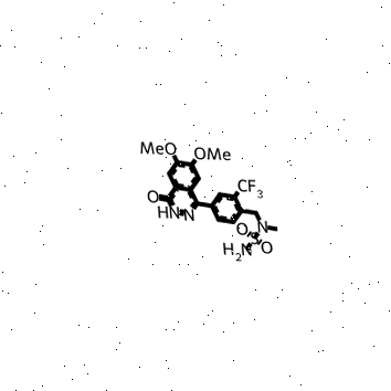 COc1cc2c(-c3ccc(CN(C)S(N)(=O)=O)c(C(F)(F)F)c3)n[nH]c(=O)c2cc1OC